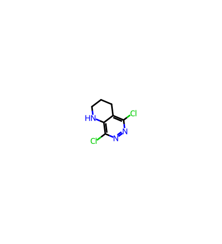 Clc1nnc(Cl)c2c1CCCN2